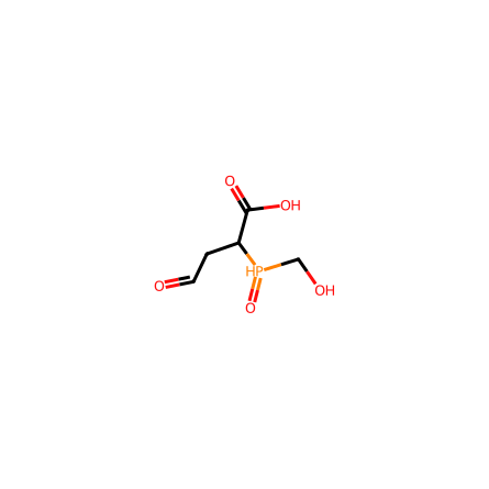 O=CCC(C(=O)O)[PH](=O)CO